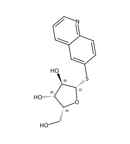 OC[C@H]1O[C@@H](Sc2ccc3ncccc3c2)[C@H](O)[C@H]1O